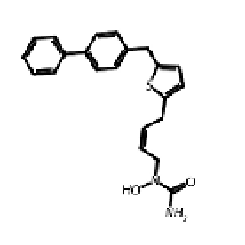 NC(=O)N(O)C/C=C\Cc1ccc(Cc2ccc(-c3ccccc3)cc2)s1